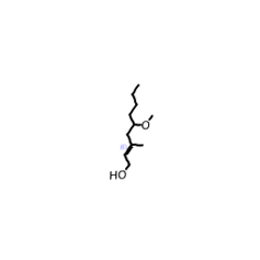 CCCCC(C/C(C)=C/CO)OC